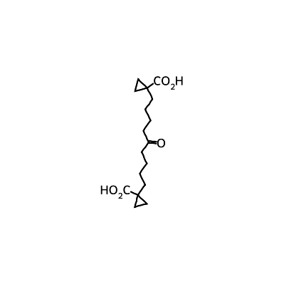 O=C(CCCCC1(C(=O)O)CC1)CCCCC1(C(=O)O)CC1